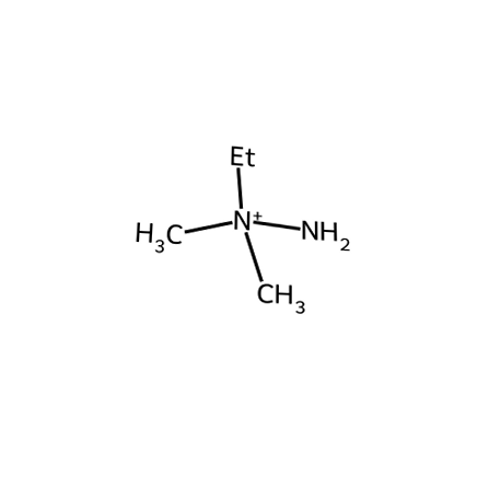 CC[N+](C)(C)N